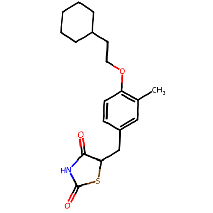 Cc1cc(CC2SC(=O)NC2=O)ccc1OCCC1CCCCC1